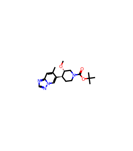 CO[C@@H]1CN(C(=O)OC(C)(C)C)CC[C@H]1c1cn2ncnc2cc1C